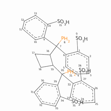 O=S(=O)(O)c1ccccc1C(P)(c1ccccc1S(=O)(=O)O)C1CCC1C(P)(c1ccccc1S(=O)(=O)O)c1ccccc1S(=O)(=O)O